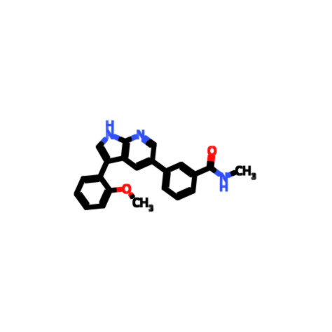 CNC(=O)c1cccc(-c2cnc3[nH]cc(-c4ccccc4OC)c3c2)c1